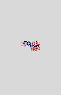 CC(=O)O[C@@](C(=O)O)([C@H]1OCCN(c2ccc3ccc(=O)n(C)c3c2)C1=O)C(C)(C)C